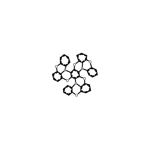 c1ccc2c(c1)Oc1cccc3c1B2c1c2c(c4c(c1O3)B1c3ccccc3Oc3cccc(c31)O4)B1c3ccccc3Oc3cccc(c31)O2